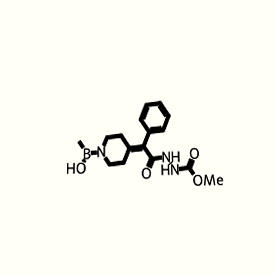 COC(=O)NNC(=O)C(=C1CCN(B(C)O)CC1)c1ccccc1